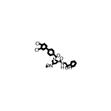 CON=C1C[C@@H](C(=O)NCC(O)c2ccccc2)N(C(=O)c2ccc(-c3ccc(Cl)c(Cl)c3)cc2)C1